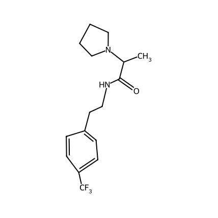 CC(C(=O)NCCc1ccc(C(F)(F)F)cc1)N1CCCC1